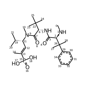 CN[C@H](C(=O)N[C@H](C(=O)N(C)[C@H](/C=C(\C)P(=O)(O)O)C(C)C)C(C)(C)C)C(C)(C)c1ccccc1